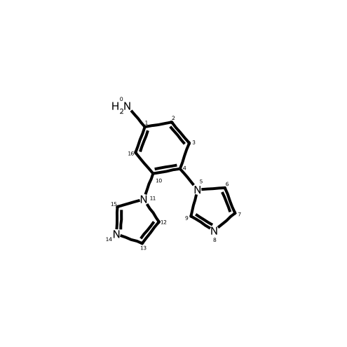 Nc1ccc(-n2ccnc2)c(-n2ccnc2)c1